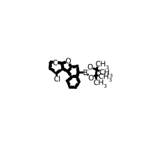 CC1(C)OB(c2cc3oc4cccc(Cl)c4c3c3ccccc23)OC1(C)C